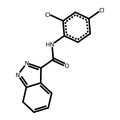 O=C(Nc1ccc(Cl)cc1Cl)C1=NN=C2CC=CC=C21